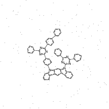 c1ccc(-c2ccc(-c3nc(-c4ccccc4)nc(-c4ccc(-n5c6ccccc6c6cc7c8ccccc8n(-c8nc(-c9ccccc9)nc(-c9ccccc9)n8)c7cc65)cc4)n3)cc2)cc1